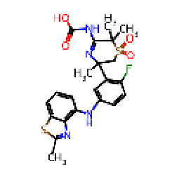 Cc1nc2c(Nc3ccc(F)c(C4(C)CS(=O)(=O)C(C)(C)C(NC(=O)O)=N4)c3)cccc2s1